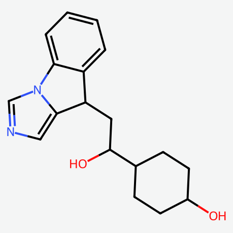 OC1CCC(C(O)CC2c3ccccc3-n3cncc32)CC1